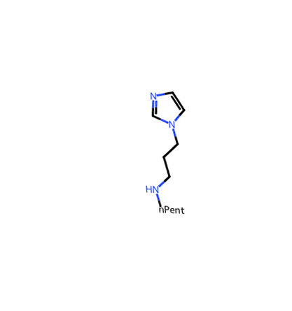 CCCCCNCCCn1ccnc1